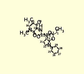 CCC(=O)Oc1c(NC(=O)N[C@H]2C(=O)C(C)=CN(C)C2=O)ccn1-c1ccccc1